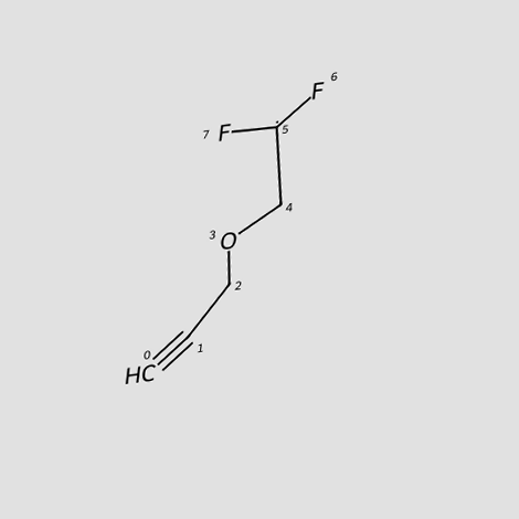 C#CCOC[C](F)F